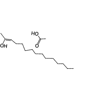 CC(=O)O.CCCCCCCCCCCCC=C(C)O